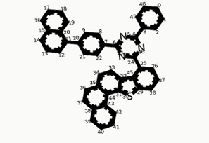 c1ccc(-c2nc(-c3ccc(-c4cccc5ccccc45)cc3)nc(-c3cccc4sc5c(ccc6ccc7ccccc7c65)c34)n2)cc1